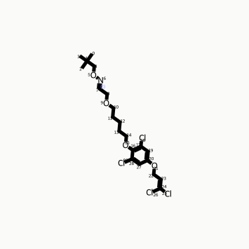 CC(C)(C)CO/N=C/COCCCCCOc1c(Cl)cc(OCC=C(Cl)Cl)cc1Cl